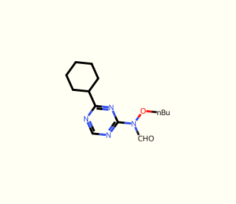 CCCCON(C=O)c1ncnc(C2CCCCC2)n1